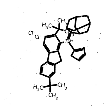 CC(C)(C)c1ccc2c(c1)Cc1c-2ccc(C(C)(C)C)[c]1[Ti+2]([C]1=CC=CC1)=[C]1C2CC3CC(C2)CC1C3.[Cl-].[Cl-]